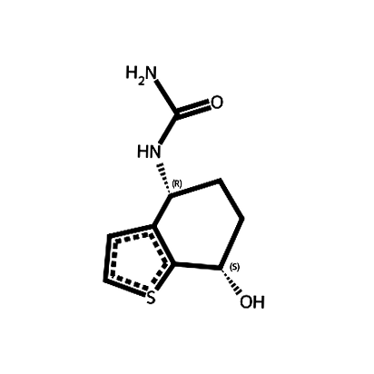 NC(=O)N[C@@H]1CC[C@H](O)c2sccc21